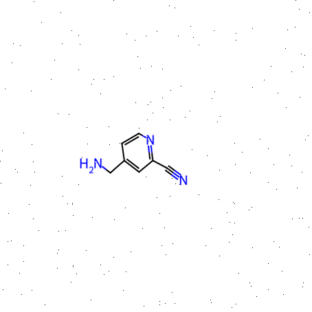 N#Cc1cc(CN)ccn1